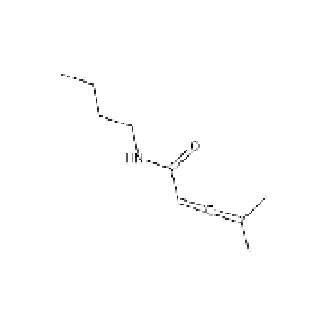 CCCCNC(=O)C=C=C(C)C